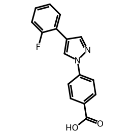 O=C(O)c1ccc(-n2cc(-c3ccccc3F)cn2)cc1